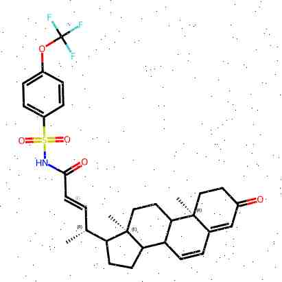 C[C@H](/C=C/C(=O)NS(=O)(=O)c1ccc(OC(F)(F)F)cc1)C1CCC2C3C=CC4=CC(=O)CC[C@]4(C)C3CC[C@@]21C